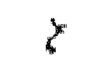 Cc1ncsc1-c1ccc(CNC(=O)[C@@H]2C[C@@H](O)CN2C(=O)[C@@H](NC(=O)COCCOCCOCC(=O)N2CCN(c3ccn4ncc(C(=O)Nc5cn(C)nc5C(F)F)c4n3)CC2)C(C)(C)C)cc1